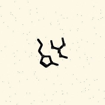 CCCN1C=CN(C)C1.CO[SiH](OC)OC